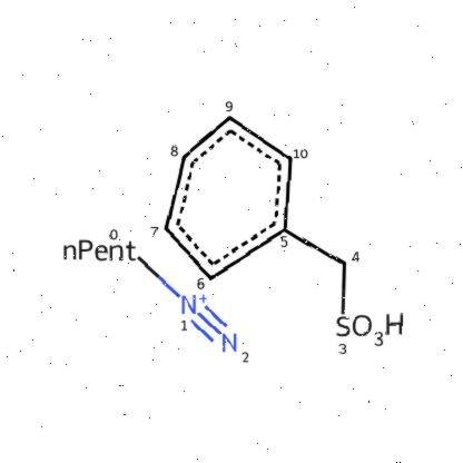 CCCCC[N+]#N.O=S(=O)(O)Cc1ccccc1